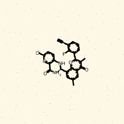 C#Cc1cccc(-c2oc3c([C@@H](C)Nc4ccc(Cl)nc4C(N)=O)cc(C)cc3c(=O)c2C)c1F